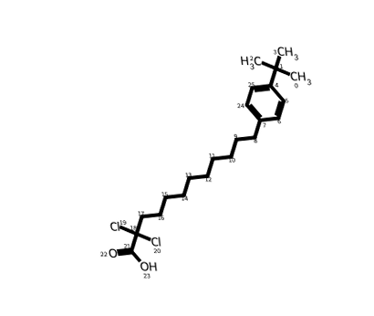 CC(C)(C)c1ccc(CCCCCCCCCCC(Cl)(Cl)C(=O)O)cc1